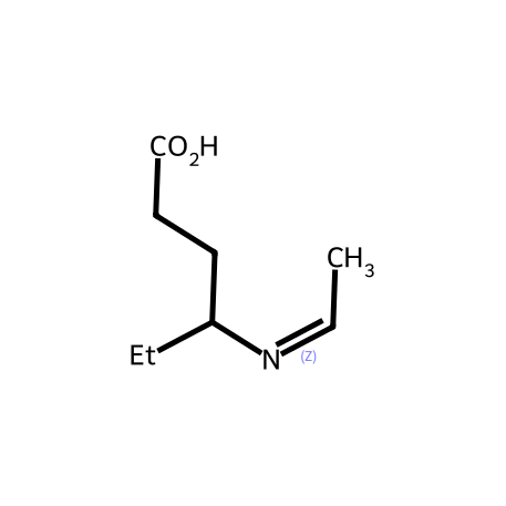 C/C=N\C(CC)CCC(=O)O